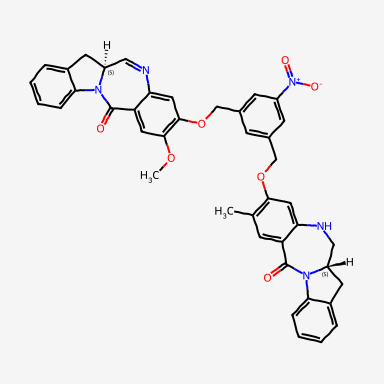 COc1cc2c(cc1OCc1cc(COc3cc4c(cc3C)C(=O)N3c5ccccc5C[C@H]3CN4)cc([N+](=O)[O-])c1)N=C[C@@H]1Cc3ccccc3N1C2=O